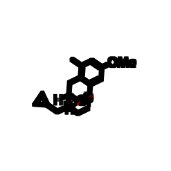 COc1cc(C)c2c(c1)[C@]13CCN(CC4CC4)[C@H](C2)[C@@H]1OCOC3